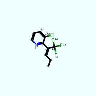 CC/C=C(/c1ncccc1Cl)C(F)(F)F